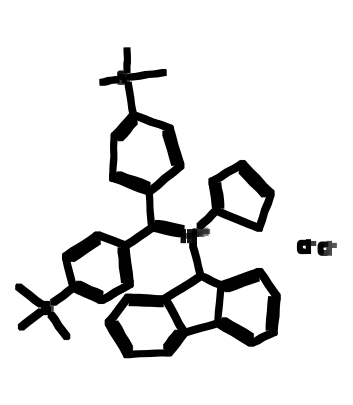 C[Si](C)(C)c1ccc([C](c2ccc([Si](C)(C)C)cc2)=[Hf+2]([C]2=CC=CC2)[CH]2c3ccccc3-c3ccccc32)cc1.[Cl-].[Cl-]